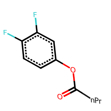 CCCC(=O)Oc1ccc(F)c(F)c1